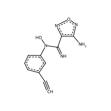 C#Cc1cccc(N(O)C(=N)c2nonc2N)c1